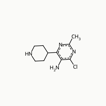 Cc1nc(Cl)c(N)c(C2CCNCC2)n1